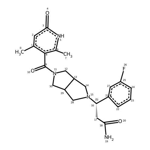 Cc1cc(=O)[nH]c(C)c1C(=O)N1CC2CN([C@@H](CC(N)=O)c3cccc(F)c3)CC2C1